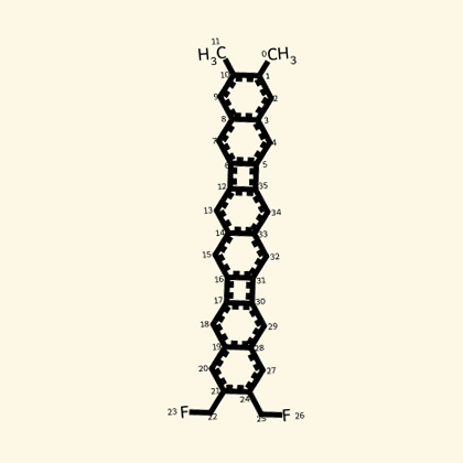 Cc1cc2cc3c(cc2cc1C)c1cc2cc4c5cc6cc(CF)c(CF)cc6cc5c4cc2cc31